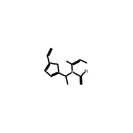 C=CC1=CC=C(C(C)N(C(=C)CC)/C(C)=C\C)C1